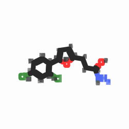 NC(=O)CCc1ccc(-c2ccc(Cl)cc2Cl)o1